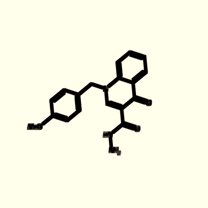 COc1ccc(Cn2cc(C(=O)NN)c(=O)c3ccccc32)cc1